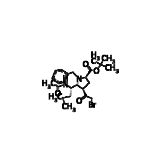 CC(=O)N[C@@H](CC(C)C)[C@H]1[C@H](C(=O)CBr)C[C@H](C(=O)OC(C)(C)C)N1Cc1ccccc1